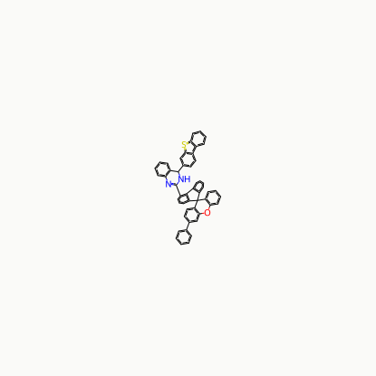 c1ccc(-c2ccc3c(c2)Oc2ccccc2C32c3ccccc3-c3c(C4=Nc5ccccc5C(c5ccc6c(c5)sc5ccccc56)N4)cccc32)cc1